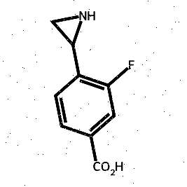 O=C(O)c1ccc(C2CN2)c(F)c1